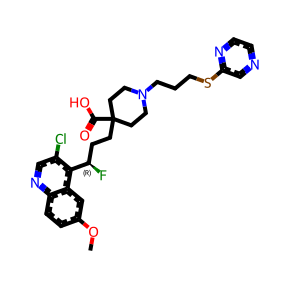 COc1ccc2ncc(Cl)c([C@H](F)CCC3(C(=O)O)CCN(CCCSc4cnccn4)CC3)c2c1